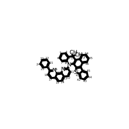 CC1(C)c2ccccc2N(c2ccc3ccc4ccc(-c5ccccc5)nc4c3n2)c2c1c1ccccc1c1c2sc2ccccc21